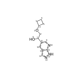 OC(COC1CCC1)c1cnc2[nH]ncc2c1